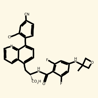 CC1(Nc2cc(F)c(C(=O)N[C@@H](Cc3ccc(-c4ccc(C#N)cc4Cl)c4ncccc34)C(=O)O)c(F)c2)COC1